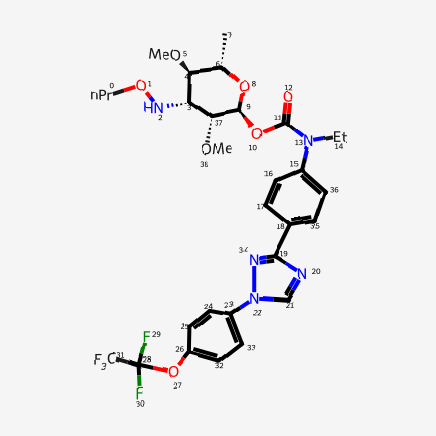 CCCON[C@@H]1[C@@H](OC)[C@H](C)O[C@@H](OC(=O)N(CC)c2ccc(-c3ncn(-c4ccc(OC(F)(F)C(F)(F)F)cc4)n3)cc2)[C@@H]1OC